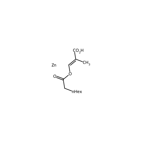 CCCCCCCC(=O)OC=C(C)C(=O)O.[Zn]